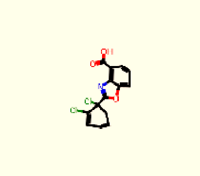 O=C(O)c1cccc2oc(C3(Cl)CC=CC=C3Cl)nc12